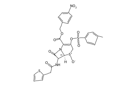 Cc1ccc(S(=O)(=O)OC2=C(C(=O)OCc3ccc([N+](=O)[O-])cc3)N3C(=O)C(NC(=O)Cc4cccs4)[C@@H]3[S+]([O-])C2)cc1